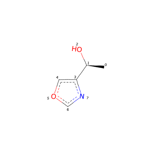 C[C@H](O)c1cocn1